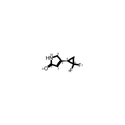 O=C1C=C([C@H]2CC2(F)F)CN1